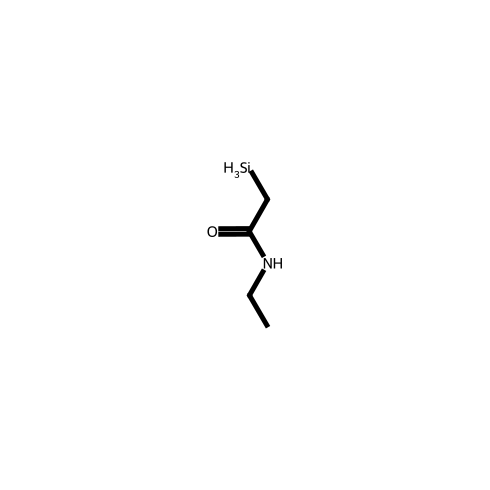 CCNC(=O)C[SiH3]